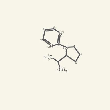 CC(C)C1CCCN1c1ncccn1